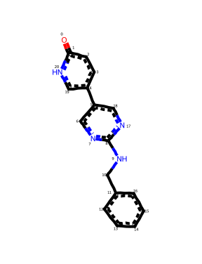 O=c1ccc(-c2cnc(NCc3ccccc3)nc2)c[nH]1